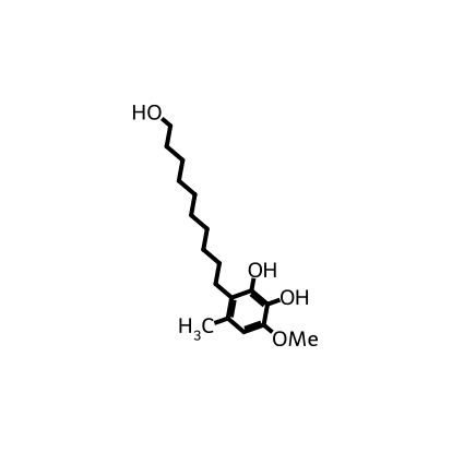 COc1cc(C)c(CCCCCCCCCCO)c(O)c1O